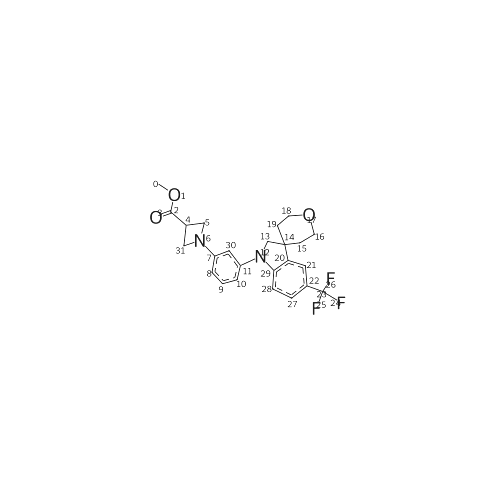 COC(=O)C1CN(c2cccc(N3CC4(CCOCC4)c4cc(C(F)(F)F)ccc43)c2)C1